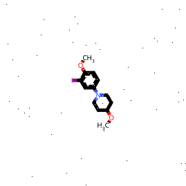 COc1ccc(N2CCC(OC)CC2)cc1I